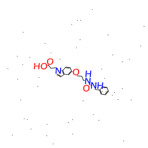 O=C(O)CCn1ccc2cc(OCCCNC(=O)NCc3ccccc3)ccc21